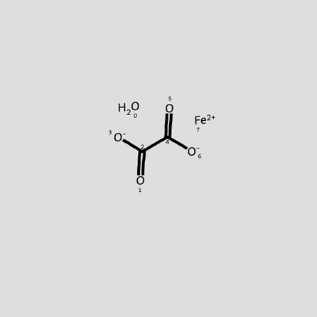 O.O=C([O-])C(=O)[O-].[Fe+2]